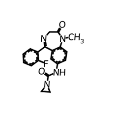 CN1C(=O)CN=C(c2ccccc2F)c2cc(NC(=O)N3CC3)ccc21